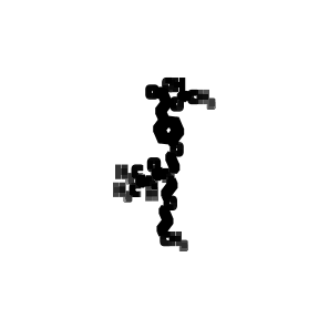 CCCCOCCN(CCOc1ccc(CC(OCC)C(=O)O)cc1)C(=O)NC(C)C